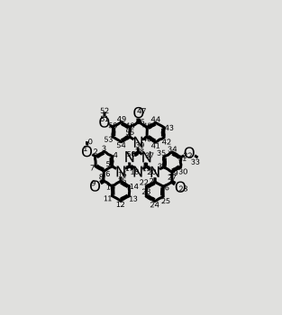 COc1ccc2c(c1)c(=O)c1ccccc1n2-c1nc(-n2c3ccccc3c(=O)c3cc(OC)ccc32)nc(-n2c3ccccc3c(=O)c3cc(OC)ccc32)n1